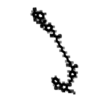 Nc1nnc(-c2ccccc2O)cc1OCCc1ccc(C(=O)NCCCCCCCCCCC(=O)NCc2ccc(S(=O)(=O)Nc3cccc4c(Cl)c[nH]c34)cc2)cc1